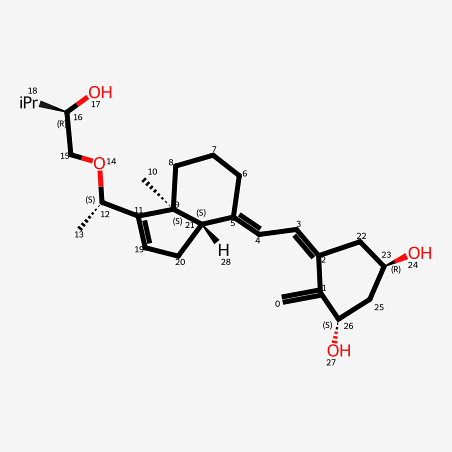 C=C1C(=CC=C2CCC[C@]3(C)C([C@H](C)OC[C@H](O)C(C)C)=CC[C@@H]23)C[C@@H](O)C[C@@H]1O